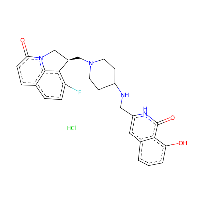 Cl.O=c1[nH]c(CNC2CCN(C[C@@H]3Cn4c(=O)ccc5ccc(F)c3c54)CC2)cc2cccc(O)c12